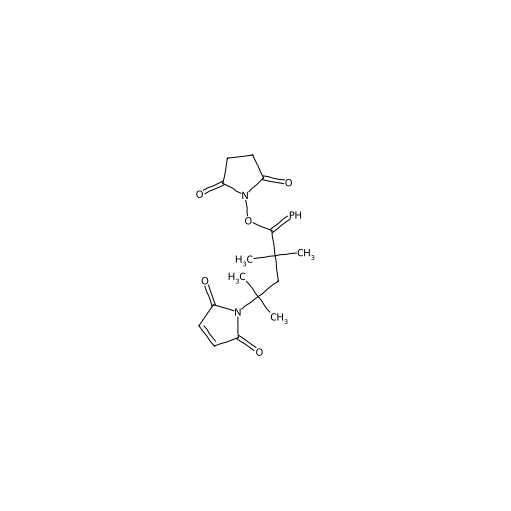 CC(C)(CC(C)(C)N1C(=O)C=CC1=O)C(=P)ON1C(=O)CCC1=O